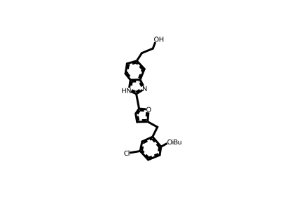 CC(C)COc1ccc(Cl)cc1Cc1ccc(-c2nc3cc(CCO)ccc3[nH]2)o1